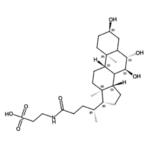 C[C@H](CCC(=O)NCCS(=O)(=O)O)[C@H]1CC[C@H]2C3[C@H](O)[C@@H](O)C4C[C@H](O)CC[C@]4(C)[C@H]3CC[C@]12C